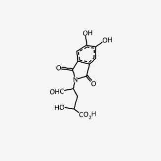 O=CC(CC(O)C(=O)O)N1C(=O)c2cc(O)c(O)cc2C1=O